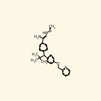 C=NN/C=C(\N)c1ccc(C(c2ccc(OCc3ccccn3)cc2)C(C)(C)C)cc1